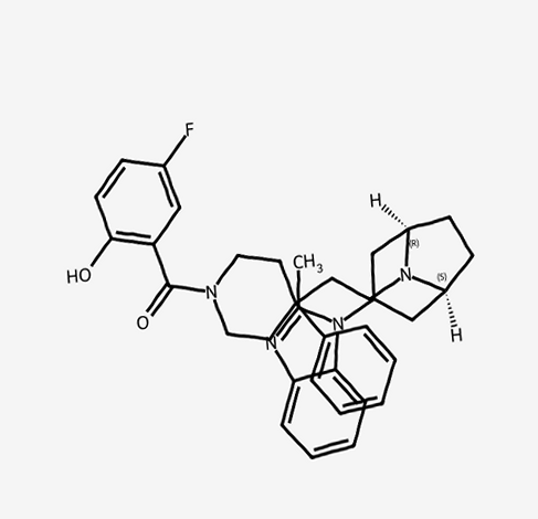 Cc1nc2ccccc2n1C1C[C@H]2CC[C@@H](C1)N2CCC1(c2ccccc2)CCN(C(=O)c2cc(F)ccc2O)CC1